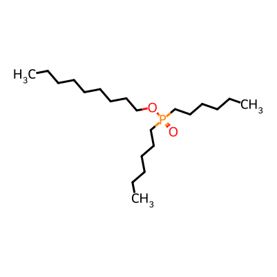 CCCCCCCCCOP(=O)(CCCCCC)CCCCCC